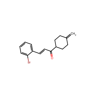 C=C1CCC(C(=O)C=Cc2ccccc2Br)CC1